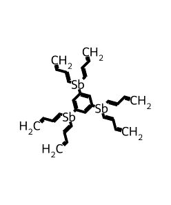 C=CC=[CH][Sb]([CH]=CC=C)[c]1c[c]([Sb]([CH]=CC=C)[CH]=CC=C)c[c]([Sb]([CH]=CC=C)[CH]=CC=C)c1